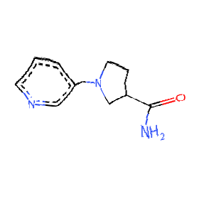 NC(=O)C1CCN(c2cccnc2)C1